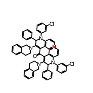 O=C(C1=C(N2CCc3ccccc3C2)C(c2ccccc2)N(c2cccc(Cl)c2)c2ccncc21)C1=C(N2CCc3ccccc3C2)C(c2ccccc2)N(c2cccc(Cl)c2)c2ccncc21